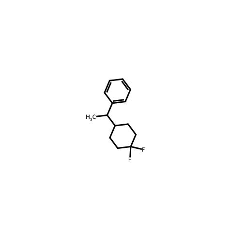 CC(c1ccccc1)C1CCC(F)(F)CC1